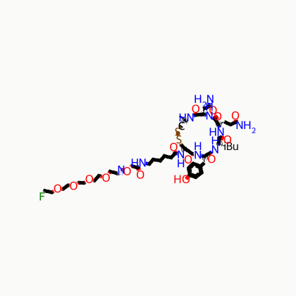 CCC(C)[C@@H]1NC(=O)[C@H](Cc2ccc(O)cc2)NC(=O)[C@@H](NC(=O)CCCCCNC(=O)CO/N=C/COCCOCCOCCOCCF)CSSC[C@@H](C)NC(=O)[C@H](CC(N)=O)NC(=O)[C@H](CCC(N)=O)NC1=O